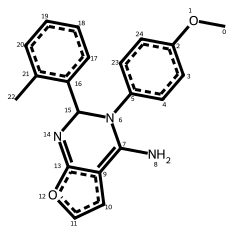 COc1ccc(N2C(N)=c3ccoc3=NC2c2ccccc2C)cc1